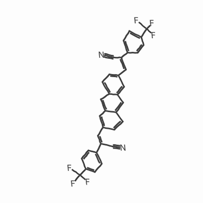 N#C/C(=C\c1ccc2cc3cc(/C=C(\C#N)c4ccc(C(F)(F)F)cc4)ccc3cc2c1)c1ccc(C(F)(F)F)cc1